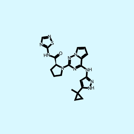 CC1(c2cc(Nc3nc(N4CCC[C@H]4C(=O)Nc4ncns4)nn4cccc34)n[nH]2)CC1